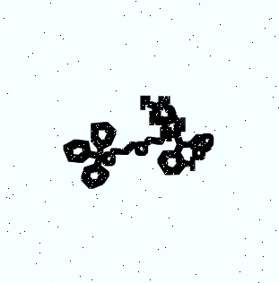 Fc1ncc2nc(C(C3=COCO3)c3ccccc3I)n(CCOCCCOC(c3ccccc3)(c3ccccc3)c3ccccc3)c2n1